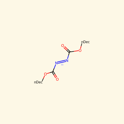 CCCCCCCCCCOC(=O)/N=N/C(=O)OCCCCCCCCCC